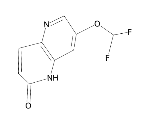 O=c1ccc2ncc(OC(F)F)cc2[nH]1